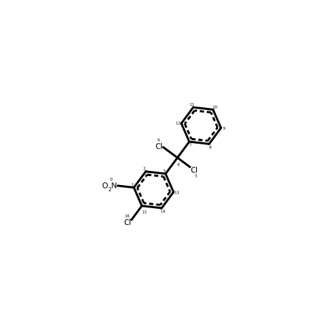 O=[N+]([O-])c1cc(C(Cl)(Cl)c2ccccc2)ccc1Cl